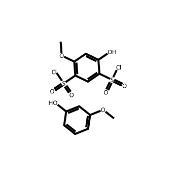 COc1cc(O)c(S(=O)(=O)Cl)cc1S(=O)(=O)Cl.COc1cccc(O)c1